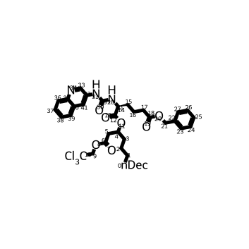 CCCCCCCCCCCCCC(CC(=O)OCC(Cl)(Cl)Cl)OC(=O)[C@H](CCCC(=O)OCc1ccccc1)NC(=O)Nc1cnc2ccccc2c1